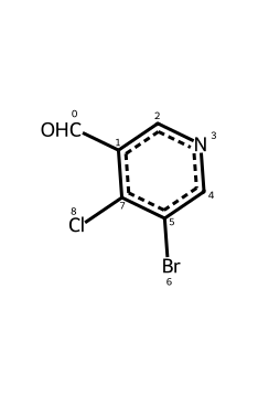 O=Cc1cncc(Br)c1Cl